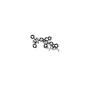 CC1(C)c2ccccc2-c2ccc(N(c3ccccc3)c3c4ccccc4cc4c3oc3cc(-c5nc(-c6ccccc6)nc(-c6ccccc6)n5)ccc34)cc21